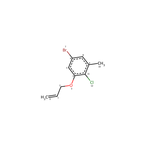 C=CCOc1cc(Br)cc(C)c1Cl